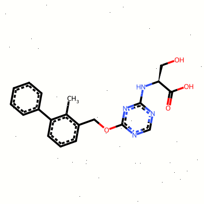 Cc1c(COc2ncnc(N[C@@H](CO)C(=O)O)n2)cccc1-c1ccccc1